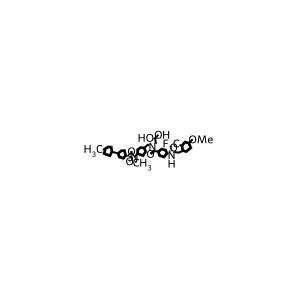 COc1ccc(CC(=O)Nc2ccc(C(=O)N(Cc3ccc(N(C)S(=O)(=O)c4ccc(-c5ccc(C)cc5)cc4)cc3)CC(O)O)cc2)c(C(F)(F)F)c1